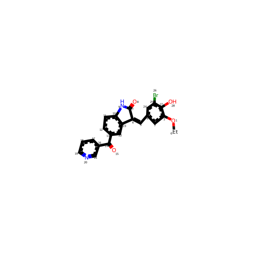 CCOc1cc(C=C2C(=O)Nc3ccc(C(=O)c4cccnc4)cc32)cc(Br)c1O